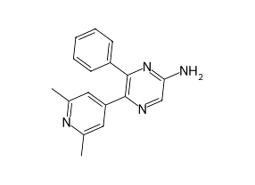 Cc1cc(-c2ncc(N)nc2-c2ccccc2)cc(C)n1